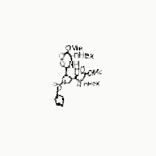 CCCCCC[C@H](NC(=O)C1CN(C(=O)OCc2ccccc2)CC1C(=O)N[C@@H](CCCCCC)C(=O)OC)C(=O)OC